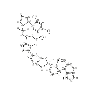 CC(C)(Cc1cc(-c2coc3c2CC(C(C)(C)C)CC3CC(C)(C)C2C=NN=C2c2ccc(Cl)cc2Cl)ccc1F)c1cccc(-c2c(Cl)ccc3nc[nH]c23)c1F